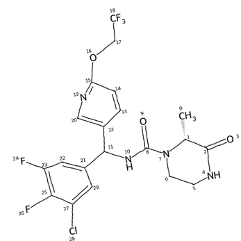 C[C@@H]1C(=O)NCCN1C(=O)NC(c1ccc(OCC(F)(F)F)nc1)c1cc(F)c(F)c(Cl)c1